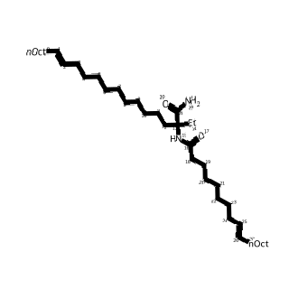 CCCCCCCCC=CCCCCCCCCCCC(CC)(NC(=O)CCCCCCCC=CCCCCCCCC)C(N)=O